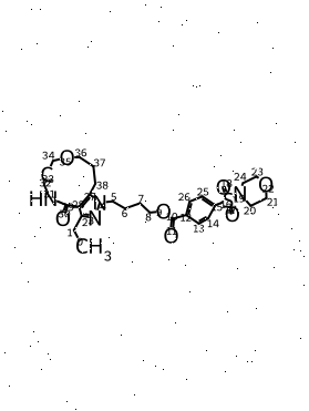 CCc1nn(CCCCOC(=O)c2ccc(S(=O)(=O)N3CCOCC3)cc2)c2c1C(=O)NCCCOCCC2